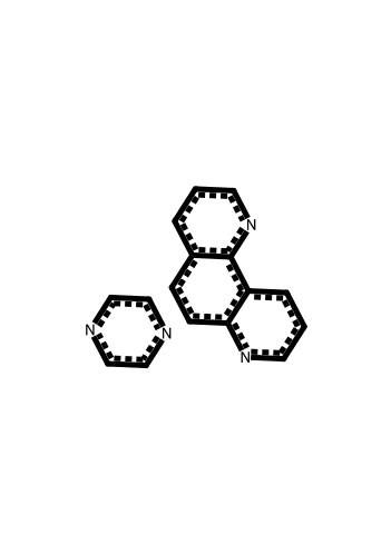 c1cnc2c(c1)ccc1ncccc12.c1cnccn1